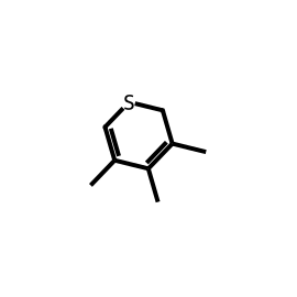 CC1=CSCC(C)=C1C